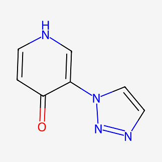 O=c1cc[nH]cc1-n1ccnn1